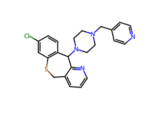 Clc1ccc2c(c1)SCc1cccnc1C2N1CCN(Cc2ccncc2)CC1